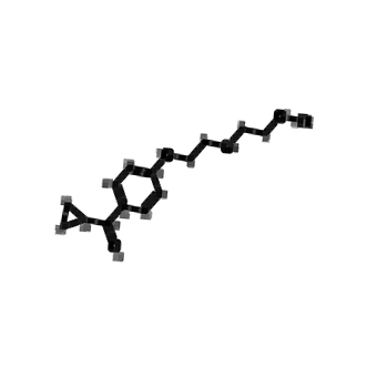 CCOCCOCCOc1ccc(C(=O)C2CC2)cc1